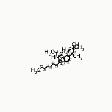 [CH2]CNS(=O)(=O)c1cc(C(C)(C)CC(C)(C)C)ccc1OCCCCCCCC